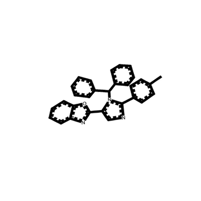 Cc1ccc(-c2ncc(-c3nc4ccccc4o3)n2C(c2ccccc2)c2ccccc2)cc1